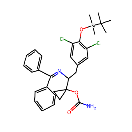 CC(C)(C)[Si](C)(C)Oc1c(Cl)cc(CC(N=C(c2ccccc2)c2ccccc2)C2(OC(N)=O)CC2)cc1Cl